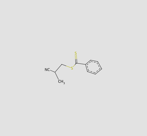 CC(C#N)CSC(=S)c1ccccc1